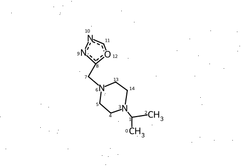 CC(C)N1CCN(Cc2nnco2)CC1